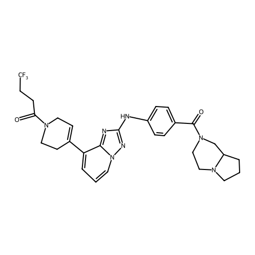 O=C(CCC(F)(F)F)N1CC=C(c2cccn3nc(Nc4ccc(C(=O)N5CCN6CCCC6C5)cc4)nc23)CC1